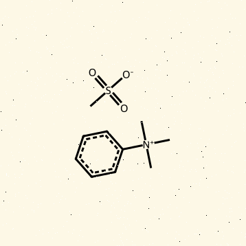 CS(=O)(=O)[O-].C[N+](C)(C)c1ccccc1